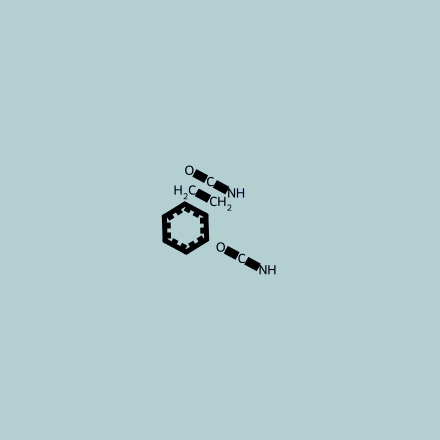 C=C.N=C=O.N=C=O.c1ccccc1